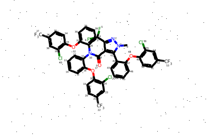 Cn1nc(C(F)F)c(C(=O)N(c2ccccc2Oc2ccc(C(F)(F)F)cc2Cl)c2ccccc2Oc2ccc(C(F)(F)F)cc2Cl)c1-c1ccccc1Oc1ccc(C(F)(F)F)cc1Cl